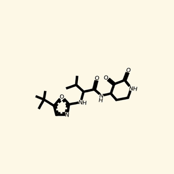 CC(C)C(Nc1ncc(C(C)(C)C)o1)C(=O)NC1CCNC(=O)C1=O